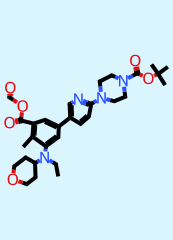 CCN(c1cc(-c2ccc(N3CCN(C(=O)OC(C)(C)C)CC3)nc2)cc(C(=O)OC=O)c1C)C1CCOCC1